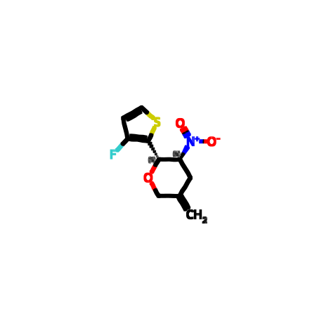 C=C1CO[C@H](c2sccc2F)[C@@H]([N+](=O)[O-])C1